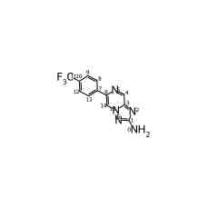 Nc1nc2cnc(-c3ccc(C(F)(F)F)cc3)cn2n1